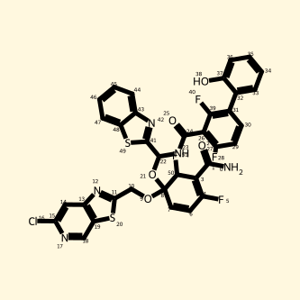 NC(=O)C1=C(F)C=CC(OCc2nc3cc(Cl)ncc3s2)(OC(NC(=O)c2c(F)ccc(-c3ccccc3O)c2F)c2nc3ccccc3s2)C1F